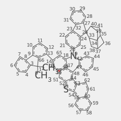 CC1(C)c2ccccc2-c2cccc(-c3cccc(N(c4ccc5c(c4)C4(c6ccccc6-5)C5CC6CC(C5)CC4C6)c4ccccc4-c4cccc5sc6c7ccccc7ccc6c45)c3)c21